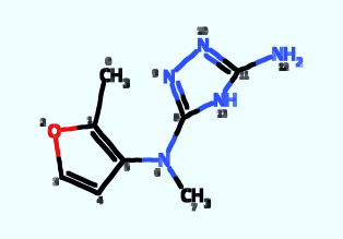 Cc1occc1N(C)c1nnc(N)[nH]1